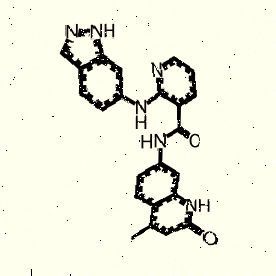 Cc1cc(=O)[nH]c2cc(NC(=O)c3cccnc3Nc3ccc4cn[nH]c4c3)ccc12